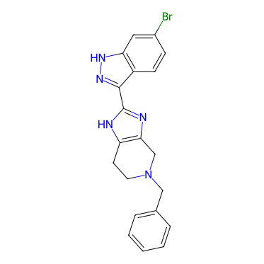 Brc1ccc2c(-c3nc4c([nH]3)CCN(Cc3ccccc3)C4)n[nH]c2c1